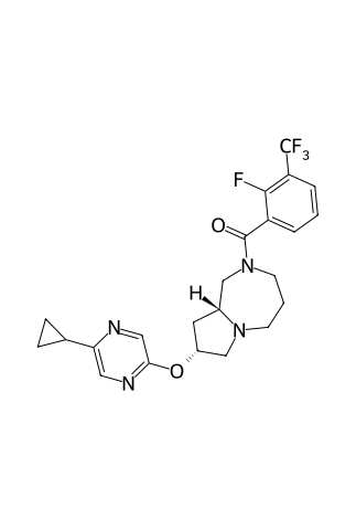 O=C(c1cccc(C(F)(F)F)c1F)N1CCCN2C[C@H](Oc3cnc(C4CC4)cn3)C[C@@H]2C1